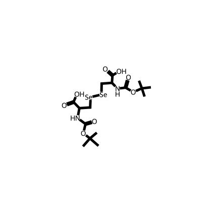 CC(C)(C)OC(=O)NC(C[Se][Se]CC(NC(=O)OC(C)(C)C)C(=O)O)C(=O)O